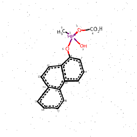 C[PH](O)(OC(=O)O)Oc1cccc2c1ccc1ccccc12